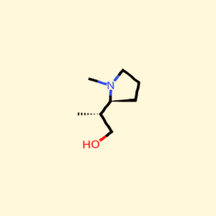 C[C@@H](CO)[C@@H]1CCCN1C